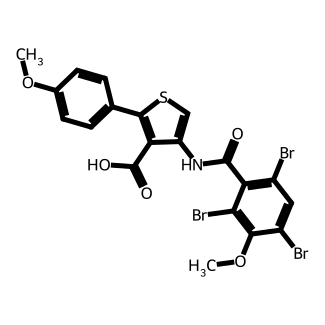 COc1ccc(-c2scc(NC(=O)c3c(Br)cc(Br)c(OC)c3Br)c2C(=O)O)cc1